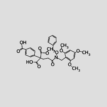 COC(=O)C(CCC(=O)N(Cc1c(OC)cc(OC)cc1OC)OCc1ccccc1)(C(=O)O)c1ccc(C(=O)O)cc1